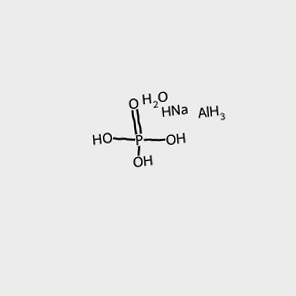 O.O=P(O)(O)O.[AlH3].[NaH]